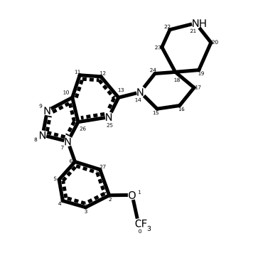 FC(F)(F)Oc1cccc(-n2nnc3ccc(N4CCCC5(CCNCC5)C4)nc32)c1